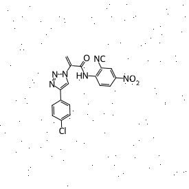 C=C(C(=O)Nc1ccc([N+](=O)[O-])cc1C#N)n1cc(-c2ccc(Cl)cc2)nn1